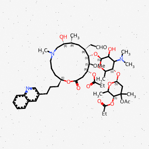 CCC(=O)O[C@@H]1CC(=O)O[C@@H](CCCc2cnc3ccccc3c2)CCCN(C)C[C@H](O)[C@H](C)C[C@H](CC=O)[C@H](O[C@@H]2OC(C)[C@@H](O[C@H]3CC(C)(OC(C)=O)[C@@H](OC(=O)CC)C(C)O3)C(N(C)C)C2O)[C@H]1OC